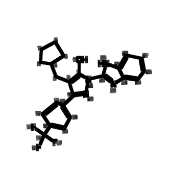 Oc1c(CC2CCCC2)c(-c2ccc(C(F)(F)F)cc2)nn1-c1nc2ccccc2[nH]1